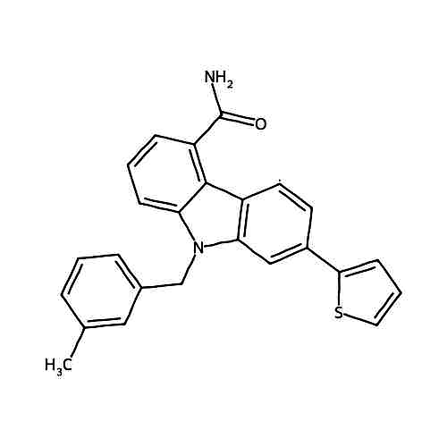 Cc1cccc(Cn2c3cc(-c4cccs4)c[c]c3c3c(C(N)=O)cccc32)c1